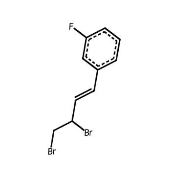 Fc1cccc(C=CC(Br)CBr)c1